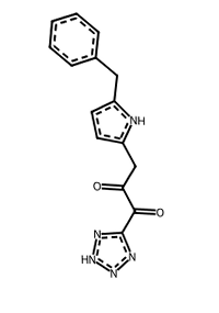 O=C(Cc1ccc(Cc2ccccc2)[nH]1)C(=O)c1nn[nH]n1